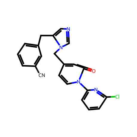 N#Cc1cccc(Cc2cncn2Cc2ccn(-c3cccc(Cl)n3)c(=O)c2)c1